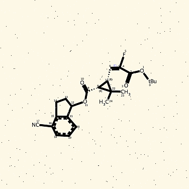 CC(C)(C)OC(=O)/C(F)=C\[C@H]1[C@@H](C(=O)OC2CCc3c(C#N)cccc32)C1(C)C